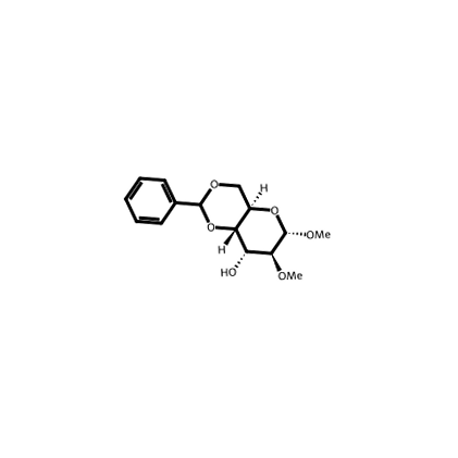 CO[C@H]1O[C@@H]2COC(c3ccccc3)O[C@H]2[C@@H](O)[C@@H]1OC